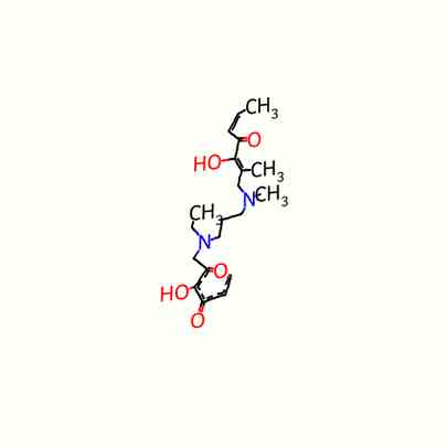 C/C=C\C(=O)/C(O)=C(\C)CN(C)CCCN(CC)Cc1occc(=O)c1O